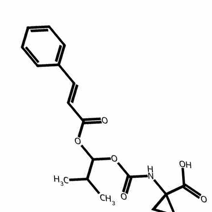 CC(C)C(OC(=O)C=Cc1ccccc1)OC(=O)NC1(C(=O)O)CC1